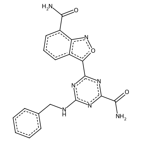 NC(=O)c1nc(NCc2ccccc2)nc(-c2onc3c(C(N)=O)cccc23)n1